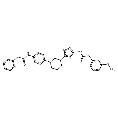 O=C(Cc1ccccn1)Nc1ccc(N2CCCC(c3nnc(NC(=O)Cc4cccc(OC(F)(F)F)c4)s3)C2)cn1